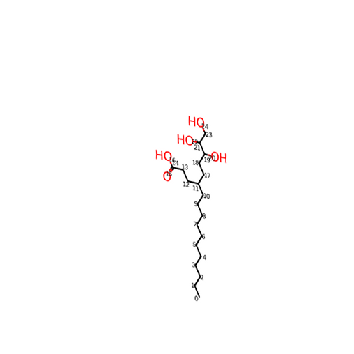 CCCCCCCCCCCC(CCC(=O)O)CCC(O)C(O)CO